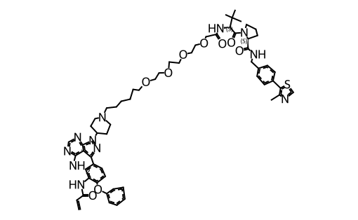 C=CC(=O)Nc1cc(-c2nn(C3CCN(CCCCCCOCCOCCOCCOCC(=O)N[C@H](C(=O)N4CCC[C@H]4C(=O)NCc4ccc(-c5scnc5C)cc4)C(C)(C)C)CC3)c3ncnc(N)c23)ccc1Oc1ccccc1